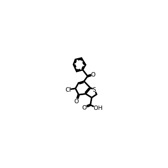 O=C(C1=CC(Cl)C(=O)C2=C1SCC2C(=O)O)c1ccccc1